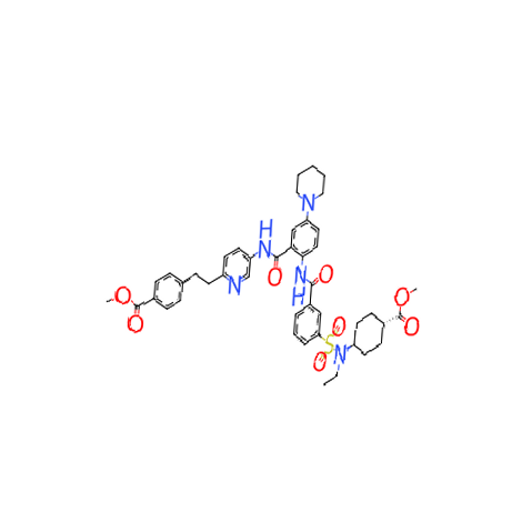 CCN([C@H]1CC[C@H](C(=O)OC)CC1)S(=O)(=O)c1cccc(C(=O)Nc2ccc(N3CCCCC3)cc2C(=O)Nc2ccc(CCc3ccc(C(=O)OC)cc3)nc2)c1